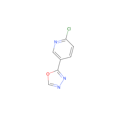 Clc1ccc(-c2nnco2)cn1